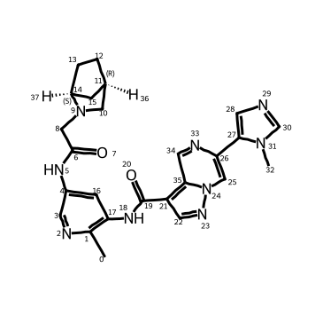 Cc1ncc(NC(=O)CN2C[C@@H]3CC[C@H]2C3)cc1NC(=O)c1cnn2cc(-c3cncn3C)ncc12